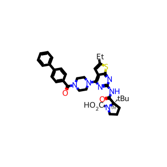 CCc1cc2c(N3CCN(C(=O)c4ccc(-c5ccccc5)cc4)CC3)nc(NC(=O)[C@@]3(C(C)(C)C)CCCN3C(=O)O)nc2s1